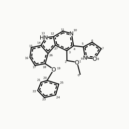 COCc1c(-c2ccon2)ncc2[nH]c3cccc(Oc4ccccc4)c3c12